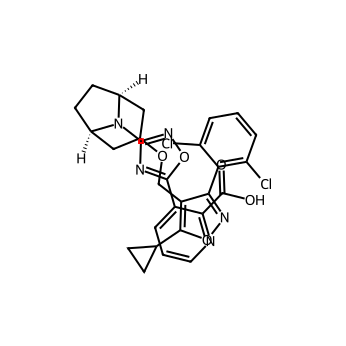 O=C(O)c1ncccc1-c1nc(N2[C@@H]3CC[C@H]2CC(OCc2c(-c4c(Cl)cccc4Cl)noc2C2CC2)C3)no1